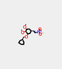 COc1cc(/C=C/[N+](=O)[O-])cc(OCc2ccccc2)c1OC